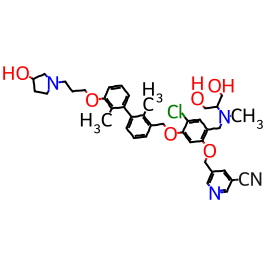 Cc1c(COc2cc(OCc3cncc(C#N)c3)c(CN(C)C(CO)CO)cc2Cl)cccc1-c1cccc(OCCCN2CCC(O)C2)c1C